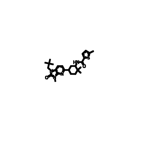 Cc1ccc(C(=O)NC2CC(c3ccc4c(n3)n(C)c(=O)n4CC(C)(C)C)CCC2(C)C)s1